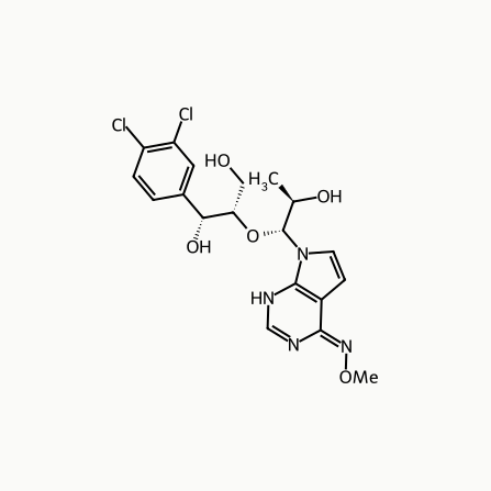 CO/N=c1\nc[nH]c2c1ccn2[C@H](O[C@@H](CO)[C@H](O)c1ccc(Cl)c(Cl)c1)[C@@H](C)O